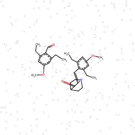 CCc1cc(OC)cc(CC)c1C=C1C(=O)C2CCN1CC2.CCc1cc(OC)cc(CC)c1C=O